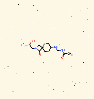 CC(=O)NCNC1CCC2(CC1)CN(CC(N)O)C2=O